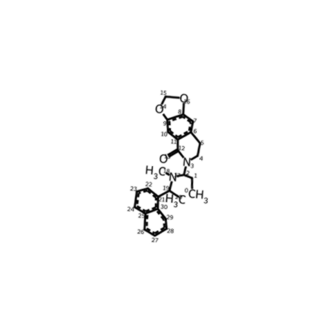 CCC(N1CCc2cc3c(cc2C1=O)OCO3)N(C)C(C)c1cccc2ccccc12